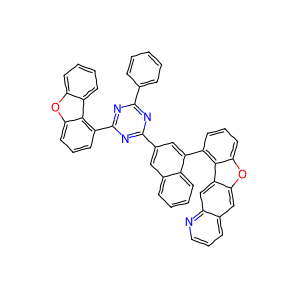 c1ccc(-c2nc(-c3cc(-c4cccc5oc6cc7cccnc7cc6c45)c4ccccc4c3)nc(-c3cccc4oc5ccccc5c34)n2)cc1